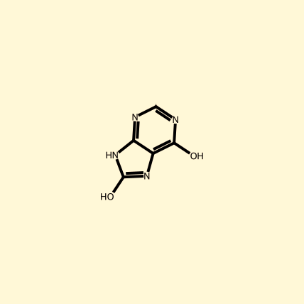 Oc1nc2c(O)n[c]nc2[nH]1